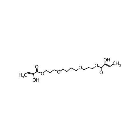 CC=C(O)C(=O)OCCCOCCCCOCCCOC(=O)C(O)=CC